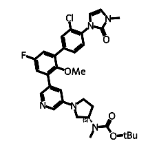 COc1c(-c2cncc(N3CC[C@H](N(C)C(=O)OC(C)(C)C)C3)c2)cc(F)cc1-c1ccc(-n2ccn(C)c2=O)c(Cl)c1